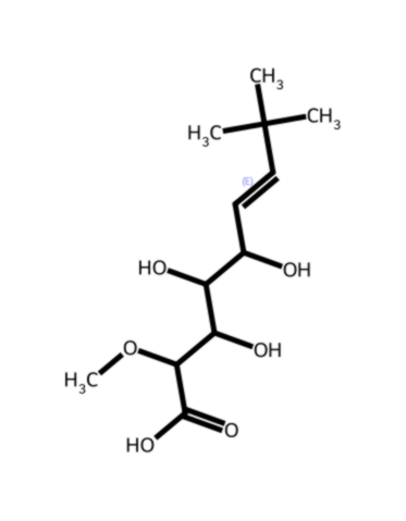 COC(C(=O)O)C(O)C(O)C(O)/C=C/C(C)(C)C